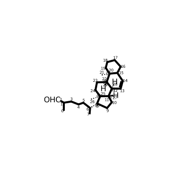 CC(C=O)CCCC(C)[C@H]1CC[C@H]2[C@@H]3C=CC4CCCC[C@]4(C)[C@H]3CC[C@]12C